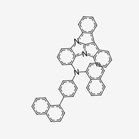 c1ccc2c(-c3ccc(N(c4cccc5ccccc45)c4cccc5c4n4c6ccccc6c6c7ccccc7n5c64)cc3)cccc2c1